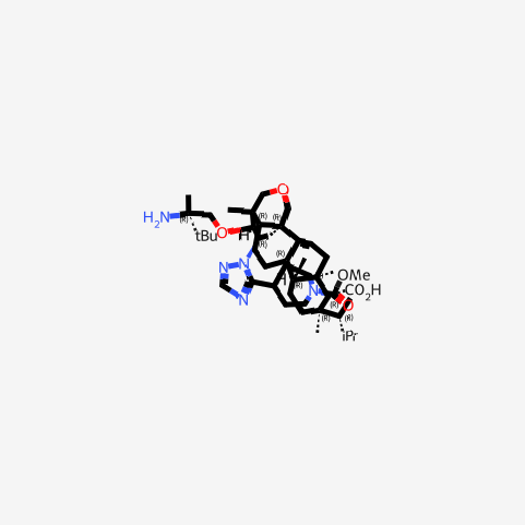 COC(=O)N1CCC(c2ncnn2[C@@H]2C[C@@]34COCC(C)(C2OC[C@](C)(N)C(C)(C)C)[C@@H]3CC[C@H]2C4=CC[C@@]3(C)[C@H](C(=O)O)[C@@](C)([C@H](C)C(C)C)CC[C@]23C)CC1